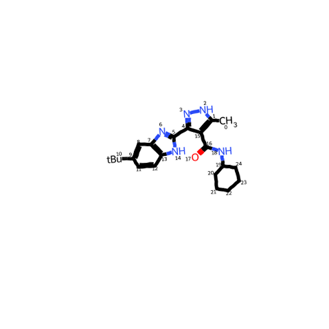 Cc1[nH]nc(-c2nc3cc(C(C)(C)C)ccc3[nH]2)c1C(=O)NC1CCCCC1